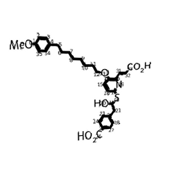 COc1ccc(CCCCCCCCOc2ccc(SC(O)Cc3ccc(C(=O)O)cc3)nc2C=CC(=O)O)cc1